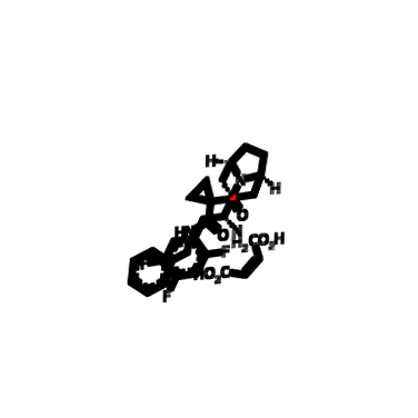 N[C@H](Cc1cc(F)c(F)cc1F)[C@@H]1C[C@H]2CC[C@@H](C1)N2C(=O)C1(C(=O)NCc2ccccc2)CC1.O=C(O)/C=C\C(=O)O